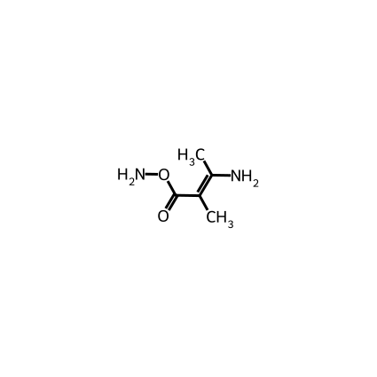 CC(N)=C(C)C(=O)ON